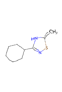 C=C1NC(C2CCCCC2)=NS1